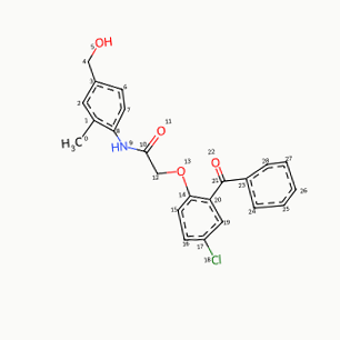 Cc1cc(CO)ccc1NC(=O)COc1ccc(Cl)cc1C(=O)c1ccccc1